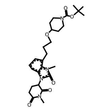 CN1C(=O)CCC(n2c(=O)n(C)c3c(CCCOC4CCN(C(=O)OC(C)(C)C)CC4)cccc32)C1=O